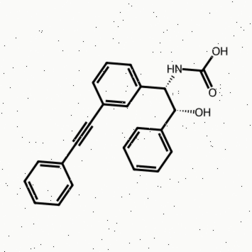 O=C(O)N[C@@H](c1cccc(C#Cc2ccccc2)c1)[C@H](O)c1ccccc1